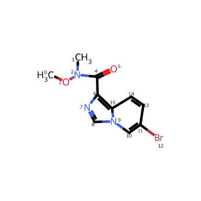 CON(C)C(=O)c1ncn2cc(Br)ccc12